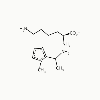 CC(N)c1nccn1C.NCCCC[C@H](N)C(=O)O